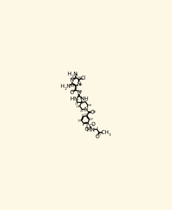 CC(=O)CNS(=O)(=O)c1cccc(C(=O)N2CCC3(CC2)CN/C(=N\C(=O)c2nc(Cl)c(N)nc2N)N3)c1